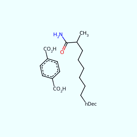 CCCCCCCCCCCCCCCCC(C)C(N)=O.O=C(O)c1ccc(C(=O)O)cc1